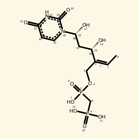 C/C=C(/COP(=O)(O)CP(=O)(O)O)[C@@H](O)C[C@@H](O)n1ccc(=O)[nH]c1=O